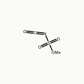 COS(=O)(=O)N=C=O